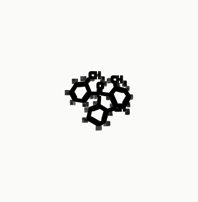 Cc1ccccc1P(=O)(c1ccccc1C)c1ccccc1C